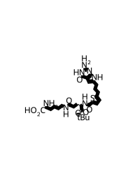 CC(C)(C)OC(=O)[C@H](CCC(=O)NCCCC[C@H](N)C(=O)O)NC(=O)c1ccc(CCCc2cc3c(=O)[nH]c(N)nc3[nH]2)s1